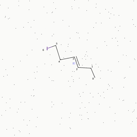 CC/C=C/CCI